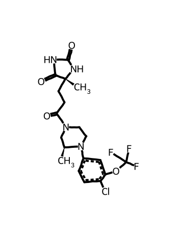 C[C@H]1CN(C(=O)CC[C@@]2(C)NC(=O)NC2=O)CCN1c1ccc(Cl)c(OC(F)(F)F)c1